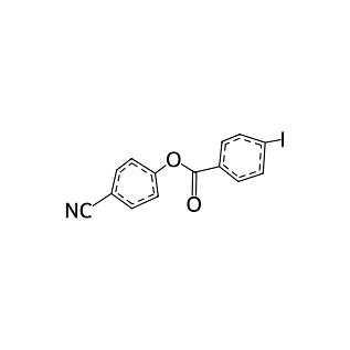 N#Cc1ccc(OC(=O)c2ccc(I)cc2)cc1